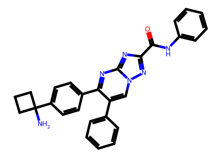 NC1(c2ccc(-c3nc4nc(C(=O)Nc5ccccc5)nn4cc3-c3ccccc3)cc2)CCC1